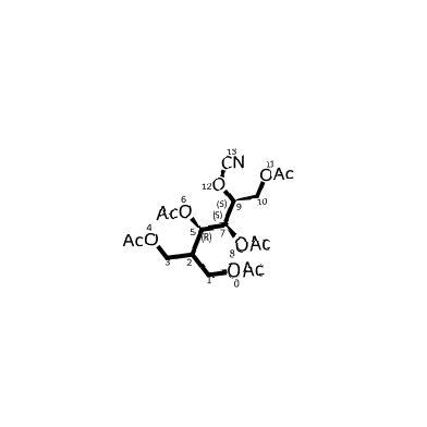 CC(=O)OCC(COC(C)=O)[C@@H](OC(C)=O)[C@H](OC(C)=O)[C@H](COC(C)=O)OC#N